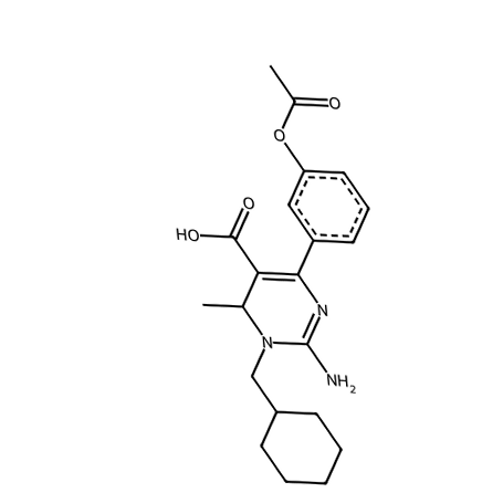 CC(=O)Oc1cccc(C2=C(C(=O)O)C(C)N(CC3CCCCC3)C(N)=N2)c1